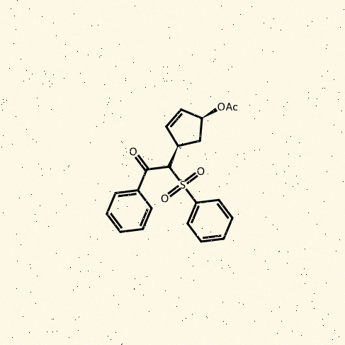 CC(=O)O[C@@H]1C=C[C@H](C(C(=O)c2ccccc2)S(=O)(=O)c2ccccc2)C1